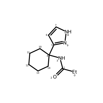 CCC(=O)NC1(c2cc[nH]n2)CCCCC1